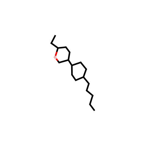 CCCCCC1CCC(C2CCC(CC)OC2)CC1